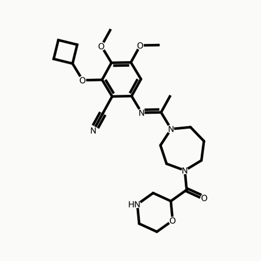 COc1cc(N=C(C)N2CCCN(C(=O)C3CNCCO3)CC2)c(C#N)c(OC2CCC2)c1OC